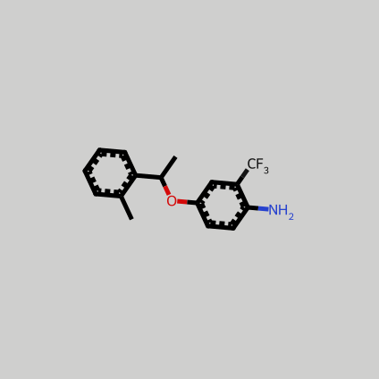 Cc1ccccc1C(C)Oc1ccc(N)c(C(F)(F)F)c1